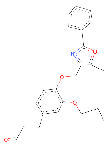 CCCOc1cc(C=CC=O)ccc1OCc1nc(-c2ccccc2)oc1C